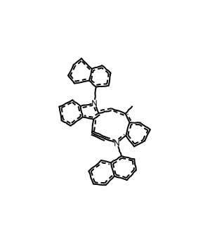 Cc1cc2c(c#cn(-c3cccc4ccccc34)c3ccccc13)c1ccccc1n2-c1cccc2ccccc12